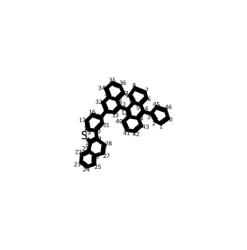 c1ccc(-c2c3ccccc3c(-c3cc(-c4ccc5sc6c7ccccc7ccc6c5c4)cc4ccccc34)c3ccccc23)cc1